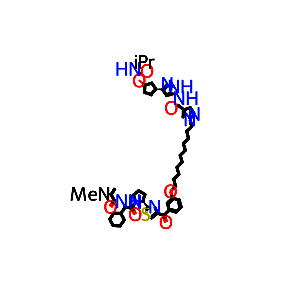 CN[C@@H](C)C(=O)N[C@H](C(=O)N1CCC[C@H]1c1nc(C(=O)c2cccc(OCCCCCCCCCCCn3cc(C(=O)Nc4cc([C@H]5CC[C@@H](OC(=O)NC(C)C)C5)n[nH]4)cn3)c2)cs1)C1CCCCC1